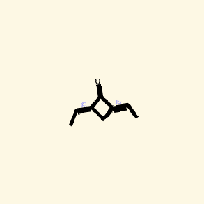 C/C=C1\C/C(=C\C)C1=O